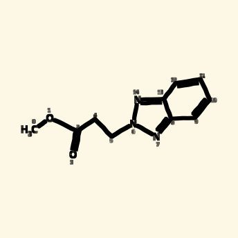 COC(=O)CCn1nc2ccccc2n1